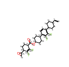 C=CC1CCC(c2ccc(C3CCC(OC(=O)C4CCC(C5CO5)C(F)=C4F)CC3)c(F)c2F)CC1